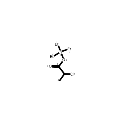 CC[Si](CC)(CC)OC(=O)C(C)Cl